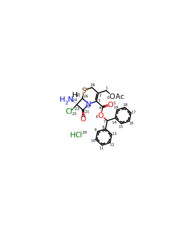 CC(=O)OCC1=C(C(=O)OC(c2ccccc2)c2ccccc2)N2C(=O)[C@@](N)(Cl)[C@H]2SC1.Cl